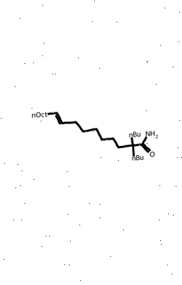 CCCCCCCCC=CCCCCCCC(CCCC)(CCCC)C(N)=O